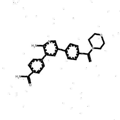 C=C(c1ccc(-c2cnc(N)c(-c3ccc(C(N)=O)cc3)c2)cc1)N1CCOCC1